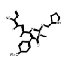 C=C/C(C#N)=C(F)\C=C(/C)c1nc(OCC2CCCN2)n(C)c(=O)c1-c1ccc(OC)cc1